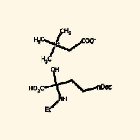 CCCCCCCCCCCCC(O)(NCC)C(=O)O.C[N+](C)(C)CC(=O)[O-]